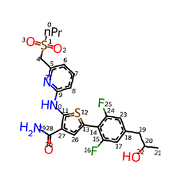 CCCS(=O)(=O)Cc1cccc(Nc2sc(-c3c(F)cc(CC(C)O)cc3F)cc2C(N)=O)n1